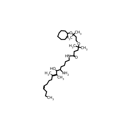 CCC/C=C\CCC/C(C)=C(\C)C(O)C(N)CCCCNC(=O)CCC(C)(C)OCCC(C)(C)OC1CCCCCCC1